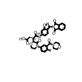 O=C(O)C[C@@H](C(=O)Nc1ccc2c(N3C(=O)c4ccccc4C3=O)noc2c1)[C@H]1OCCN(c2ccc(F)c(C(=O)N3CCOCC3)c2)C1=O